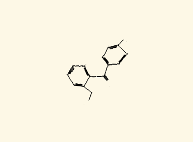 CCc1ccc(C(=O)c2ccccc2CC(=O)O)cc1